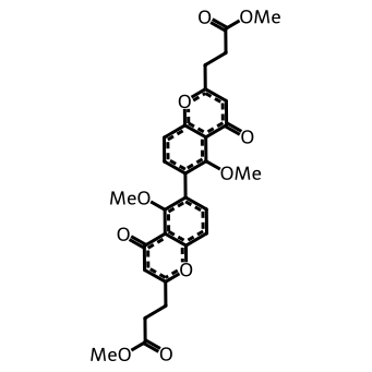 COC(=O)CCc1cc(=O)c2c(OC)c(-c3ccc4oc(CCC(=O)OC)cc(=O)c4c3OC)ccc2o1